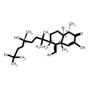 CCC(C)(C)CC[C@](C)(O)CCC(C)(C)[C@]1(C)CC[C@H]2[C@H](C)C(=O)C(C#N)=C[C@]2(C)/C1=C/C(C)=O